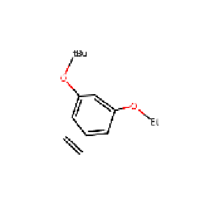 C=C.CCOc1cccc(OC(C)(C)C)c1